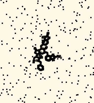 C#CCN(C(=O)NCc1ccccc1)N1CC(=O)N2[C@@H](Cc3ccc4oc(=O)[nH]c4c3)C(=O)N(Cc3cccc4sc(N)nc34)C[C@@H]21